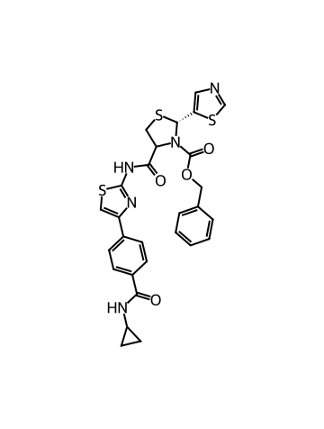 O=C(NC1CC1)c1ccc(-c2csc(NC(=O)C3CS[C@H](c4cncs4)N3C(=O)OCc3ccccc3)n2)cc1